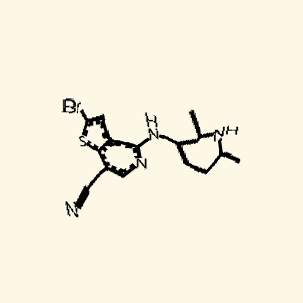 CC1CCC(Nc2ncc(C#N)c3sc(Br)cc23)C(C)N1